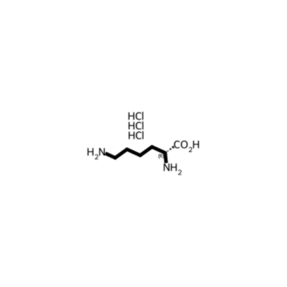 Cl.Cl.Cl.NCCCC[C@@H](N)C(=O)O